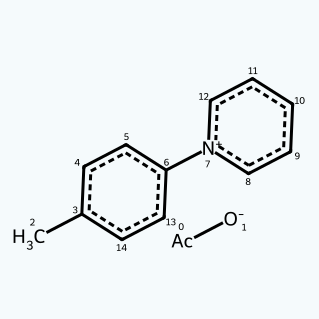 CC(=O)[O-].Cc1ccc(-[n+]2ccccc2)cc1